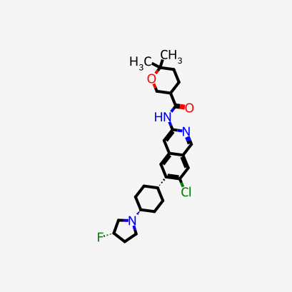 CC1(C)CCC(C(=O)Nc2cc3cc([C@H]4CC[C@@H](N5CC[C@H](F)C5)CC4)c(Cl)cc3cn2)CO1